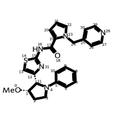 CO[C@H]1CCN(c2ccccc2)[C@H]1c1csc(NC(=O)c2cccn2Cc2ccncc2)n1